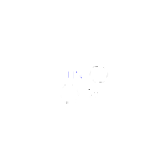 c1ccc2c(c1)Nc1ccccc1[Se]2